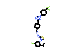 CC(C)c1ccc(F)cc1N1CS/C1=N\N=C\c1ccc(-c2ncn(-c3ccc(C(F)(F)F)cc3)n2)cc1